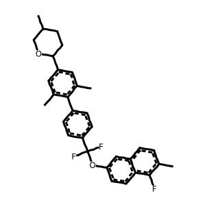 Cc1cc(C2CCC(C)CO2)cc(C)c1-c1ccc(C(F)(F)Oc2ccc3c(F)c(C)ccc3c2)cc1